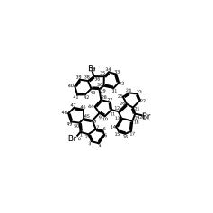 Brc1c2ccccc2c(-c2cc(-c3c4ccccc4c(Br)c4ccccc34)cc(-c3c4ccccc4c(Br)c4ccccc34)c2)c2ccccc12